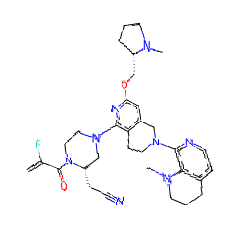 C=C(F)C(=O)N1CCN(c2nc(OC[C@@H]3CCCN3C)cc3c2CCN(c2nccc4c2N(C)CCC4)C3)C[C@@H]1CC#N